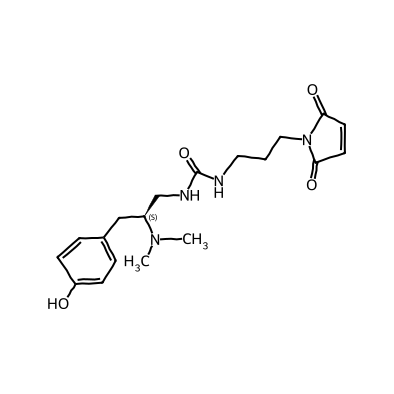 CN(C)[C@H](CNC(=O)NCCCN1C(=O)C=CC1=O)Cc1ccc(O)cc1